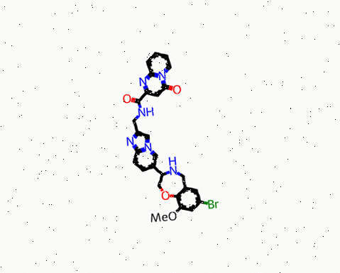 COc1cc(Br)cc2c1OCC(c1ccc3nc(CNC(=O)c4cc(=O)n5ccccc5n4)cn3c1)NC2